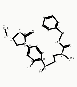 CCN(CCN(NC)C(=O)OCc1ccccc1)c1ccc(N2C[C@H](CN)OC2=O)cc1F